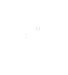 [Cu].[PbH2].[SbH3].[Zn]